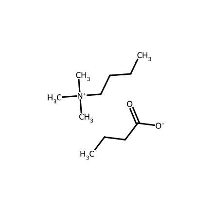 CCCC(=O)[O-].CCCC[N+](C)(C)C